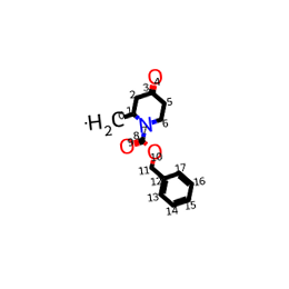 [CH2]C1CC(=O)CCN1C(=O)OCc1ccccc1